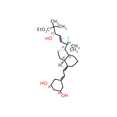 CCOC(=O)C(C)(C)[C@@H](O)/C=C/[C@@](C)(F)[C@H]1CC[C@H]2/C(=C/C=C3C[C@@H](O)C[C@H](O)C3)CCC[C@@]21C